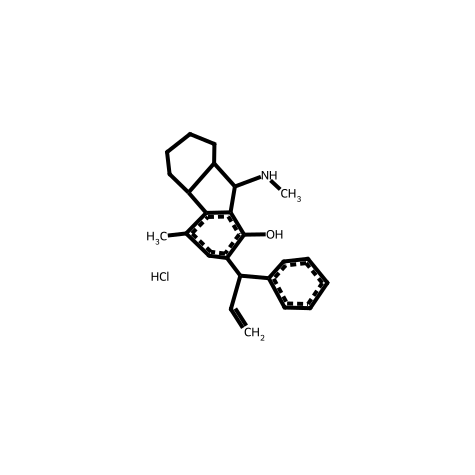 C=CC(c1ccccc1)c1cc(C)c2c(c1O)C(NC)C1CCCCC21.Cl